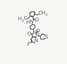 CCc1cccc(CC)c1C(=O)NC1CCC(n2c(=O)c3cc(F)cnc3n(C3CCSCC3)c2=O)CC1